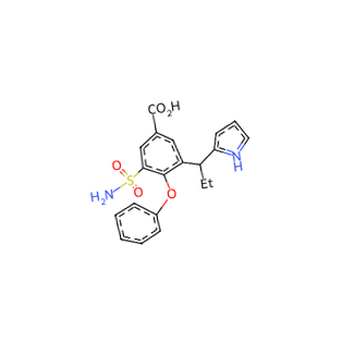 CCC(c1ccc[nH]1)c1cc(C(=O)O)cc(S(N)(=O)=O)c1Oc1ccccc1